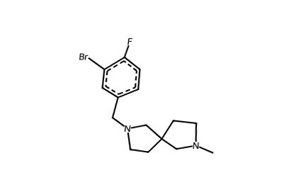 CN1CCC2(CCN(Cc3ccc(F)c(Br)c3)C2)C1